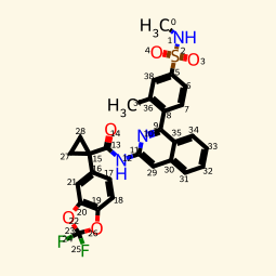 CNS(=O)(=O)c1ccc(-c2nc(NC(=O)C3(c4ccc5c(c4)OC(F)(F)O5)CC3)cc3ccccc23)c(C)c1